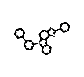 c1ccc(-c2cccc(-n3c4ccccc4c4c5oc(-c6ccccc6)nc5ccc43)c2)cc1